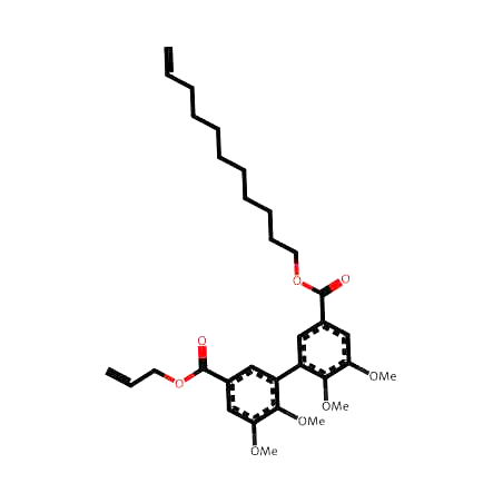 C=CCCCCCCCCCOC(=O)c1cc(OC)c(OC)c(-c2cc(C(=O)OCC=C)cc(OC)c2OC)c1